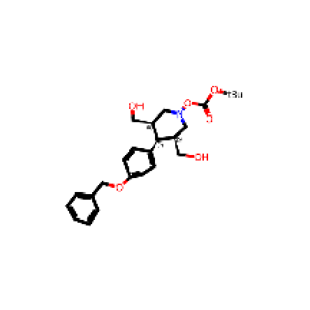 CC(C)(C)OC(=O)ON1C[C@@H](CO)[C@@H](c2ccc(OCc3ccccc3)cc2)[C@@H](CO)C1